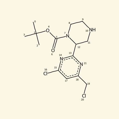 CC(C)(C)OC(=O)N1CCNCC1c1nc(Cl)cc(CCl)n1